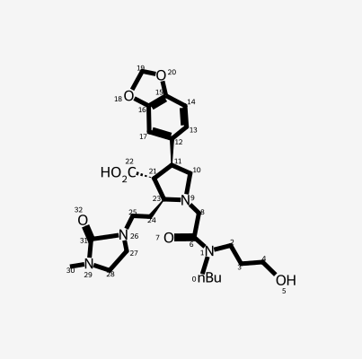 CCCCN(CCCO)C(=O)CN1C[C@H](c2ccc3c(c2)OCO3)[C@@H](C(=O)O)[C@@H]1CCN1CCN(C)C1=O